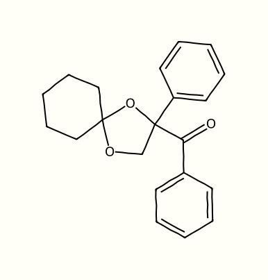 O=C(c1ccccc1)C1(c2ccccc2)COC2(CCCCC2)O1